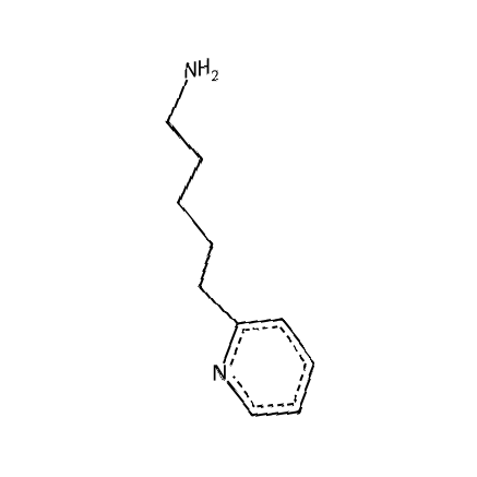 NCCCCCc1ccccn1